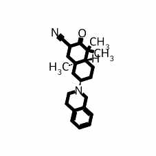 CC1(C)C(=O)C(C#N)C[C@]2(C)C[C@@H](N3CCc4ccccc4C3)CC[C@@H]12